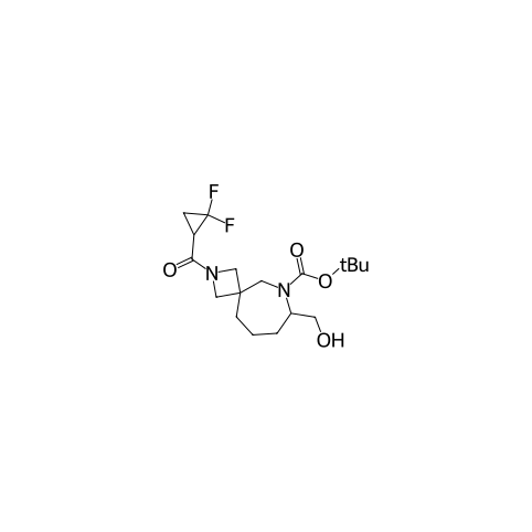 CC(C)(C)OC(=O)N1CC2(CCCC1CO)CN(C(=O)C1CC1(F)F)C2